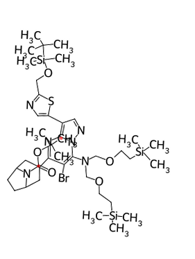 CC(C)(C)OC(=O)N1C2CCC1CC(c1nc3c(-c4cnc(CO[Si](C)(C)C(C)(C)C)s4)cnn3c(N(COCC[Si](C)(C)C)COCC[Si](C)(C)C)c1Br)C2